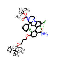 CC(C)(C)OC(=O)N1CCN2c3cc(F)c(Cl)c(-c4c(C(N)=S)ccc(OCCCO[Si](C)(C)C(C)(C)C)c4F)c3CC2(c2ccccc2)C1